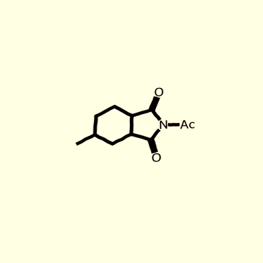 CC(=O)N1C(=O)C2CCC(C)CC2C1=O